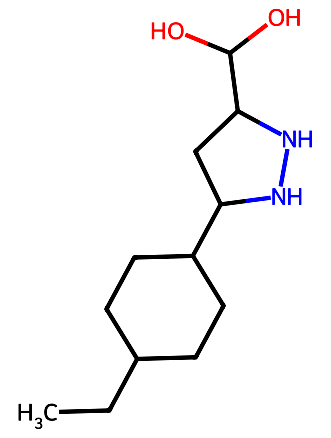 CCC1CCC(C2CC(C(O)O)NN2)CC1